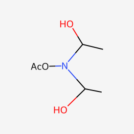 CC(=O)ON(C(C)O)C(C)O